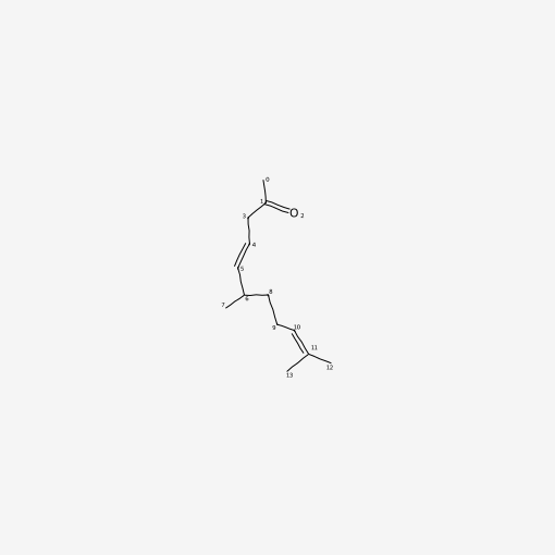 CC(=O)CC=CC(C)CCC=C(C)C